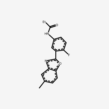 CCC(=O)Nc1ccc(F)c(-c2nc3cc(C)ccc3o2)c1